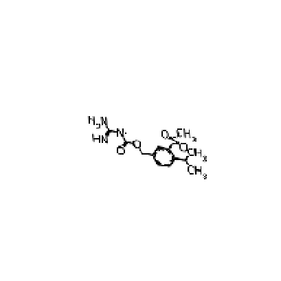 CC(C)c1ccc(COC(=O)[N]C(=N)N)cc1S(C)(=O)=O